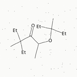 CCC(C)(CC)OC(C)C(=O)C(C)(CC)CC